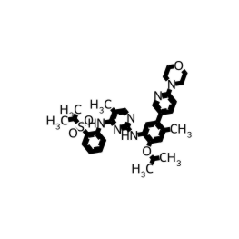 Cc1cc(OC(C)C)c(Nc2ncc(C)c(Nc3ccccc3S(=O)(=O)C(C)C)n2)cc1-c1ccc(N2CCOCC2)nc1